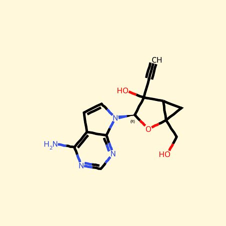 C#CC1(O)C2CC2(CO)O[C@H]1n1ccc2c(N)ncnc21